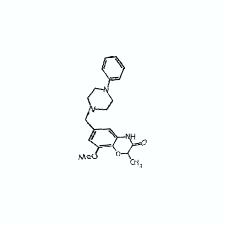 COc1cc(CN2CCN(c3ccccc3)CC2)cc2c1OC(C)C(=O)N2